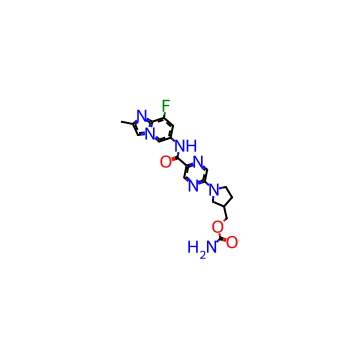 Cc1cn2cc(NC(=O)c3cnc(N4CCC(COC(N)=O)C4)cn3)cc(F)c2n1